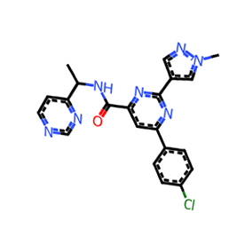 CC(NC(=O)c1cc(-c2ccc(Cl)cc2)nc(-c2cnn(C)c2)n1)c1ccncn1